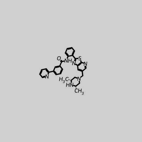 C[C@@H]1CN(Cc2cnc3sc(-c4ccccc4NC(=O)c4cccc(-c5ccccn5)c4)nc3c2)C[C@H](C)N1